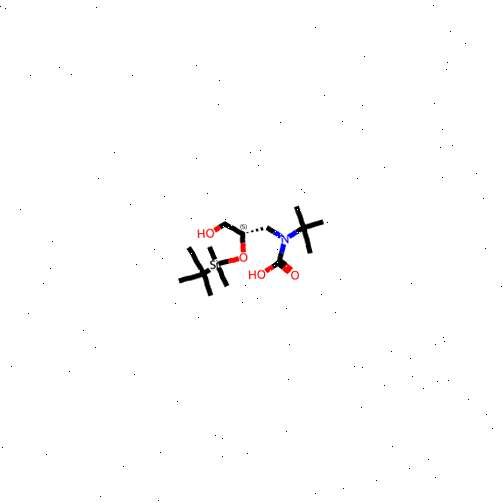 CC(C)(C)N(C[C@@H](CO)O[Si](C)(C)C(C)(C)C)C(=O)O